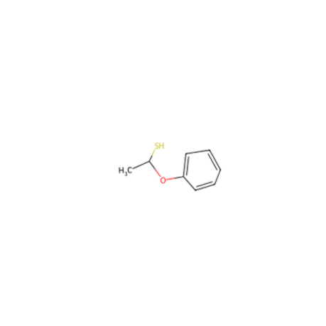 CC(S)Oc1ccccc1